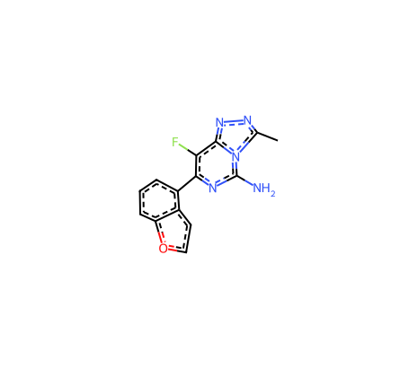 Cc1nnc2c(F)c(-c3cccc4occc34)nc(N)n12